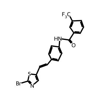 O=C(Nc1ccc(/C=C/c2cnc(Br)s2)cc1)c1cccc(C(F)(F)F)c1